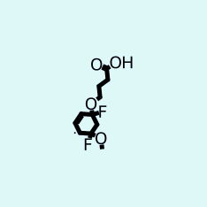 COC1(F)[CH]C=CC(F)(OCCCC(=O)O)C1